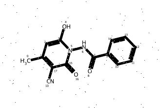 Cc1cc(O)n(NC(=O)c2ccccc2)c(=O)c1C#N